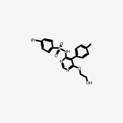 Cc1ccc(-c2c(NS(=O)(=O)c3ccc(C(C)C)cc3)ncnc2OCCO)cc1